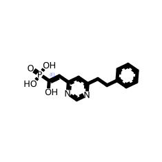 O=P(O)(O)/C(O)=C/c1cc(CCc2ccccc2)ncn1